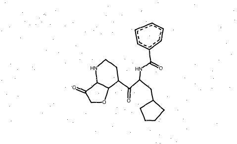 O=C(NC(CC1CCCC1)C(=O)C1CCNC2C(=O)COC12)c1ccccc1